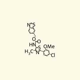 COc1cc(Cl)ccc1-c1nc(C)c(NC(=O)OCc2ccc3ncsc3c2)s1